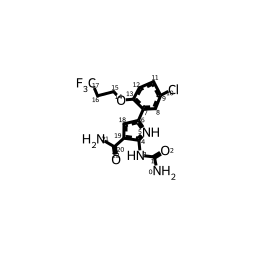 NC(=O)Nc1[nH]c(-c2cc(Cl)ccc2OCCC(F)(F)F)cc1C(N)=O